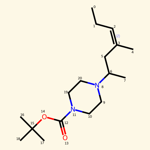 CC/C=C(/C)CC(C)N1CCN(C(=O)OC(C)(C)C)CC1